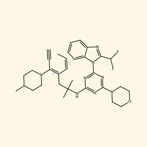 C#C/C(=C(\C=C/C)CC(C)(C)Nc1nc(N2CCOCC2)nc(-n2c(C(F)F)nc3ccccc32)n1)N1CCN(C)CC1